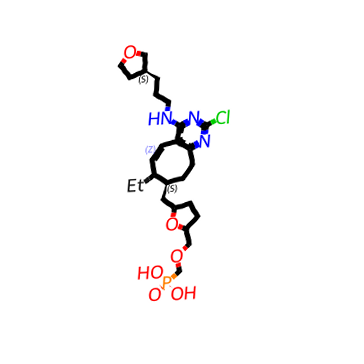 CCC1/C=C\c2c(nc(Cl)nc2NCCC[C@H]2CCOC2)CC[C@H]1CC1CCC(COCP(=O)(O)O)O1